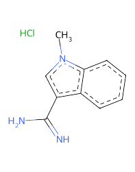 Cl.Cn1cc(C(=N)N)c2ccccc21